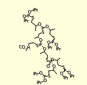 CC(C)OP(OC(C)C)SCC(C)OP(OC(C)CSP(OC(C)C)OC(C)C)SCC(C)OP(OC(C)CSP(=O)(OC(C)CSP(OC(C)C)OC(C)C)OC(C)CSP(OC(C)C)OC(C)C)SCCC(=O)O